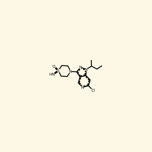 CCC(C)n1nc(N2CCS(=N)(=O)CC2)c2cnc(Cl)cc21